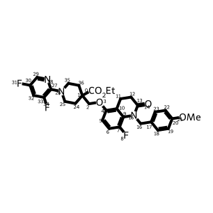 CCOC(=O)C1(COc2ccc(F)c3c2CCC(=O)N3Cc2ccc(OC)cc2)CCN(c2ncc(F)cc2F)CC1